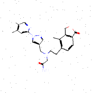 Cc1cc(-n2cc(CN(CCc3ccc4c(c3C)COC4=O)CC(N)=O)cn2)ncc1C#N